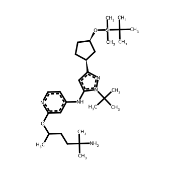 CC(CCC(C)(C)N)Oc1cc(Nc2cc([C@H]3CC[C@@H](O[Si](C)(C)C(C)(C)C)C3)nn2C(C)(C)C)ccn1